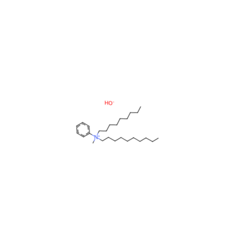 CCCCCCCCCC[N+](C)(CCCCCCCCC)c1ccccc1.[OH-]